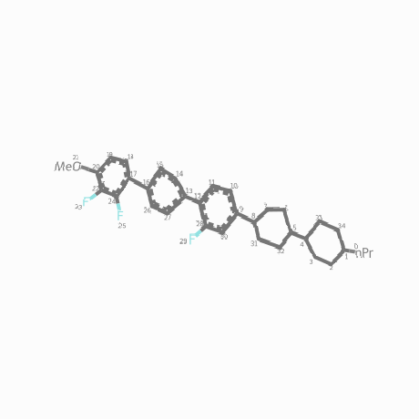 CCCC1CCC(C2CCC(c3ccc(-c4ccc(-c5ccc(OC)c(F)c5F)cc4)c(F)c3)CC2)CC1